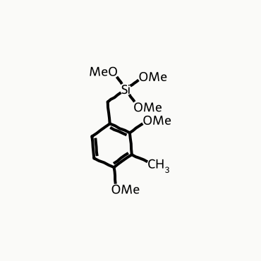 COc1ccc(C[Si](OC)(OC)OC)c(OC)c1C